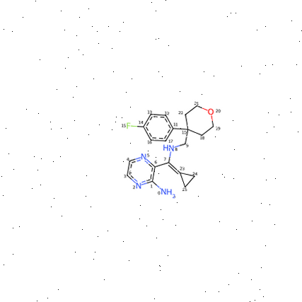 Nc1nccnc1C(NCC1(c2ccc(F)cc2)CCOCC1)=C1CC1